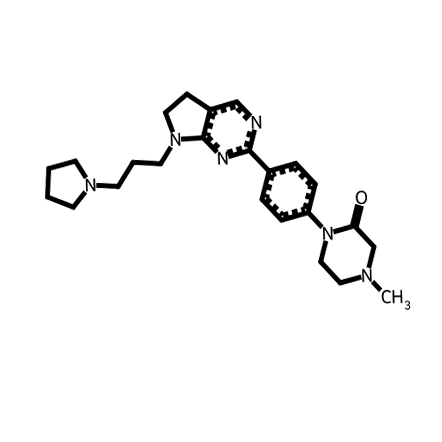 CN1CCN(c2ccc(-c3ncc4c(n3)N(CCCN3CCCC3)CC4)cc2)C(=O)C1